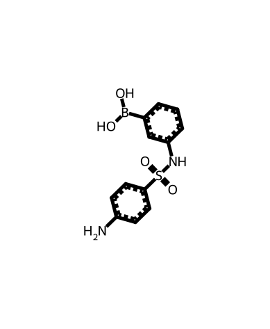 Nc1ccc(S(=O)(=O)Nc2cccc(B(O)O)c2)cc1